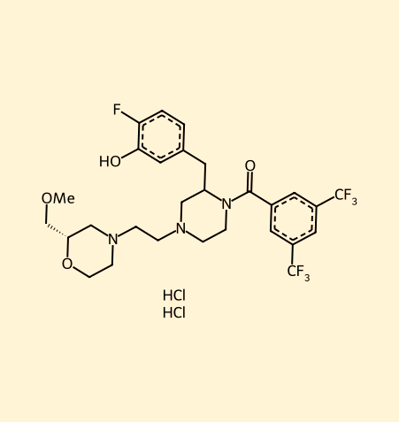 COC[C@@H]1CN(CCN2CCN(C(=O)c3cc(C(F)(F)F)cc(C(F)(F)F)c3)C(Cc3ccc(F)c(O)c3)C2)CCO1.Cl.Cl